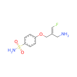 NCC(=CF)COc1ccc(S(N)(=O)=O)cc1